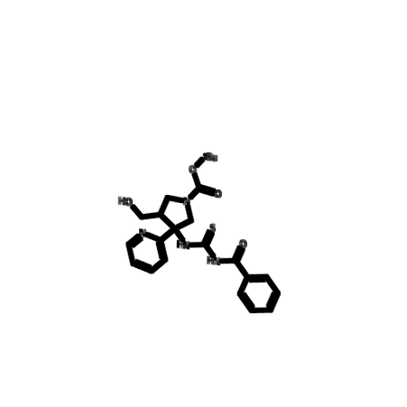 CC(C)(C)OC(=O)N1CC(CO)C(NC(=S)NC(=O)c2ccccc2)(c2ccccn2)C1